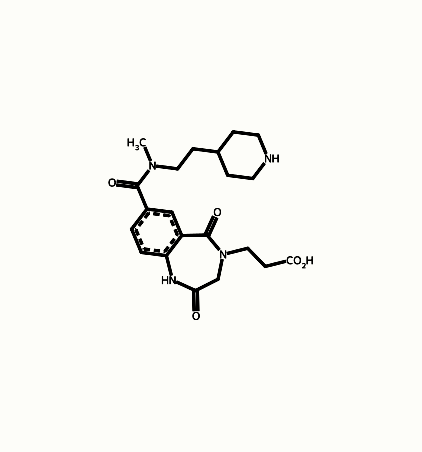 CN(CCC1CCNCC1)C(=O)c1ccc2c(c1)C(=O)N(CCC(=O)O)CC(=O)N2